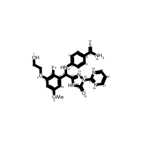 COc1cc(OCCO)c(F)c(C(Nc2ccc(C(N)=S)cc2)c2nn(-c3ncccn3)c(=O)[nH]2)c1